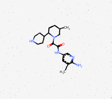 Cc1cc(NC(=O)C(=O)N2CC(C)CCC2C2CCNCC2)cnc1N